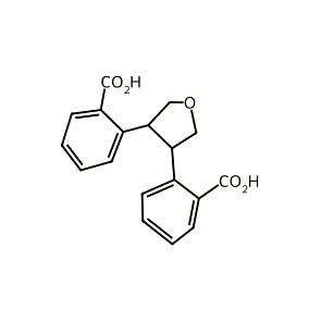 O=C(O)c1ccccc1C1COCC1c1ccccc1C(=O)O